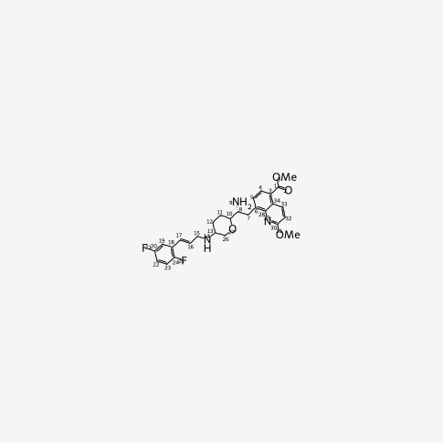 COC(=O)c1ccc(C[C@@H](N)C2CCC(NC/C=C/c3cc(F)ccc3F)CO2)c2nc(OC)ccc12